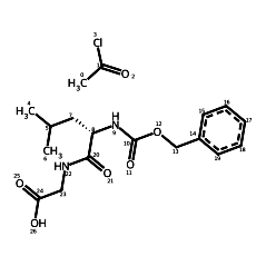 CC(=O)Cl.CC(C)C[C@H](NC(=O)OCc1ccccc1)C(=O)NCC(=O)O